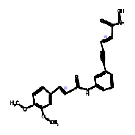 COc1ccc(/C=C/C(=O)Nc2cccc(C#C/C=C/C(=O)NO)c2)cc1OC